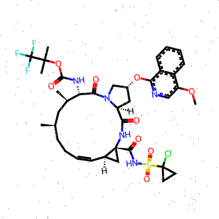 COc1cnc(O[C@@H]2C[C@H]3C(=O)N[C@]4(C(=O)NS(=O)(=O)C5(Cl)CC5)C[C@H]4/C=C\CC[C@@H](C)C[C@@H](C)[C@H](NC(=O)OC(C)(C)C(F)(F)F)C(=O)N3C2)c2ccccc12